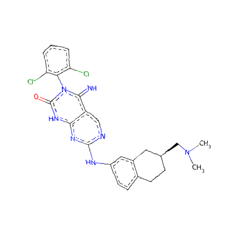 CN(C)C[C@H]1CCc2ccc(Nc3ncc4c(=N)n(-c5c(Cl)cccc5Cl)c(=O)[nH]c4n3)cc2C1